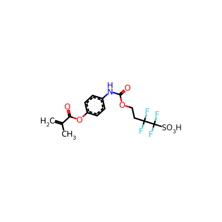 C=C(C)C(=O)Oc1ccc(NC(=O)OCCC(F)(F)C(F)(F)S(=O)(=O)O)cc1